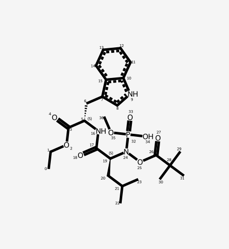 CCOC(=O)[C@H](Cc1c[nH]c2ccccc12)NC(=O)[C@H](CC(C)C)N(OC(=O)C(C)(C)C)P(=O)(O)OC